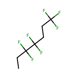 CCC(F)(F)C(F)(F)CCC(F)(F)F